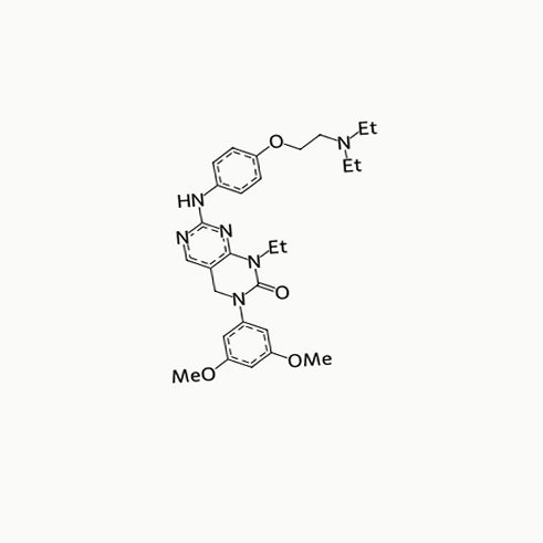 CCN(CC)CCOc1ccc(Nc2ncc3c(n2)N(CC)C(=O)N(c2cc(OC)cc(OC)c2)C3)cc1